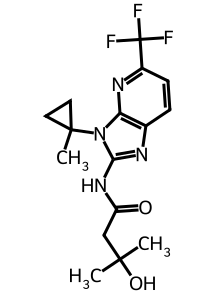 CC(C)(O)CC(=O)Nc1nc2ccc(C(F)(F)F)nc2n1C1(C)CC1